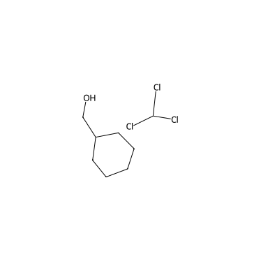 ClC(Cl)Cl.OCC1CCCCC1